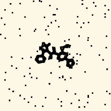 Cc1onc(-c2ccccc2)c1C(=O)Nc1ccc(-n2ccnc2)nc1OC(C)C